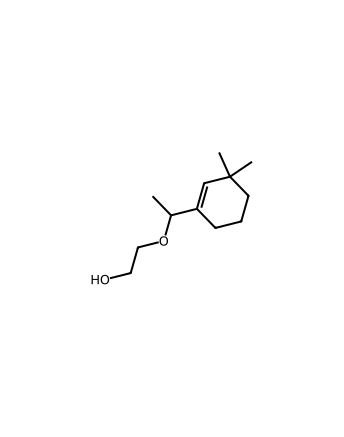 CC(OCCO)C1=CC(C)(C)CCC1